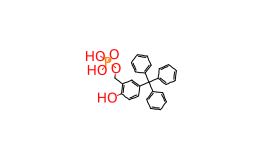 O=P(O)(O)OCc1cc(C(c2ccccc2)(c2ccccc2)c2ccccc2)ccc1O